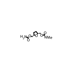 CNC(=O)OC[C@@H]1CC[C@H](COC(N)=O)O1